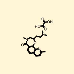 Cc1ccc2ccc3c(c2n1)OC(CCN(C)C)CN(C)C3=O.O=C(O)C(=O)O